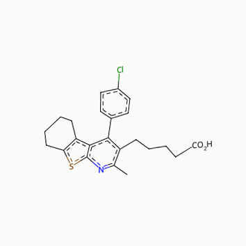 Cc1nc2sc3c(c2c(-c2ccc(Cl)cc2)c1CCCCC(=O)O)CCCC3